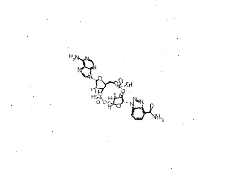 NC(=O)c1cccc2c1nnn2[C@@H]1O[C@@H]2CO[P@](=O)(S)O[C@@H]3C(CO[P@](=O)(S)O[C@@H]1[C@@H]2F)O[C@@H](n1cnc2c(N)ncnc21)[C@@H]3F